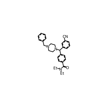 CCN(CC)C(=O)c1ccc(C(c2cccc(C#N)c2)N2CCN(Cc3ccccc3)CC2)cc1